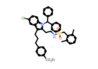 CCOC(=O)c1ccc(CCCc2c(CCNS(=O)(=O)Cc3c(C)cccc3C)n(C(c3ccccc3)c3ccccc3)c3ccc(Cl)cc23)cc1